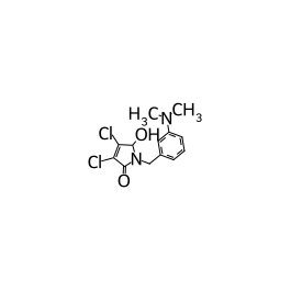 CN(C)c1cccc(CN2C(=O)C(Cl)=C(Cl)C2O)c1